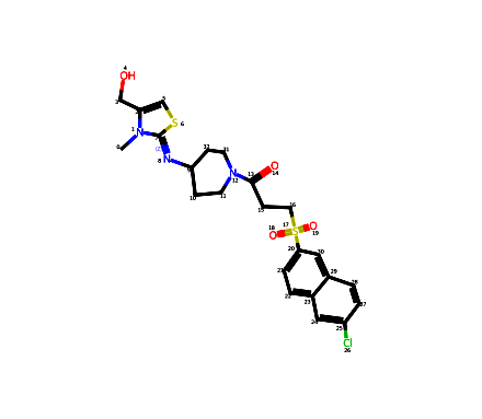 Cn1c(CO)cs/c1=N\C1CCN(C(=O)CCS(=O)(=O)c2ccc3cc(Cl)ccc3c2)CC1